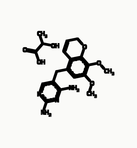 CC(O)C(=O)O.COc1cc(Cc2cnc(N)nc2N)c2c(c1OC)OCC=C2